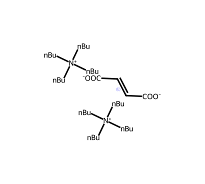 CCCC[N+](CCCC)(CCCC)CCCC.CCCC[N+](CCCC)(CCCC)CCCC.O=C([O-])/C=C/C(=O)[O-]